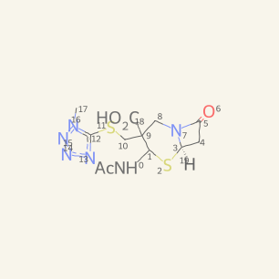 CC(=O)NC1S[C@@H]2CC(=O)N2CC1(CSc1nnnn1C)C(=O)O